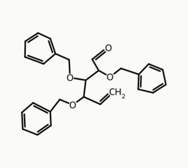 C=CC(OCc1ccccc1)C(OCc1ccccc1)C(C=O)OCc1ccccc1